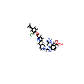 CCn1cncc1Cn1c(CN2CCC(Cc3cccc(COc4ccc(C5CC5)cc4Cl)n3)CC2)nc2ccc(C(=O)O)cc21